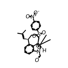 CC(C)=C[C@H]1CCC[C@]23c4c1cccc4N(C=O)[C@H]2OC(C)(C)N3S(=O)(=O)c1ccc([N+](=O)[O-])cc1